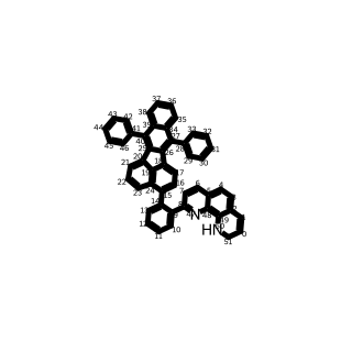 C1=Cc2ccc3ccc(-c4ccccc4-c4ccc5c6c(cccc46)-c4c-5c(-c5ccccc5)c5ccccc5c4-c4ccccc4)nc3c2NC1